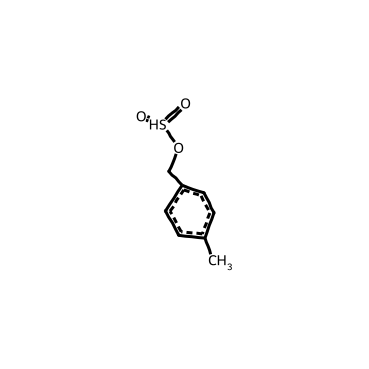 Cc1ccc(CO[SH](=O)=O)cc1